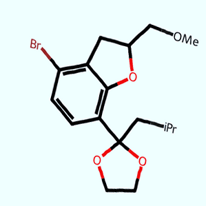 COCC1Cc2c(Br)ccc(C3(CC(C)C)OCCO3)c2O1